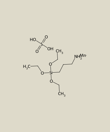 CCO[Si](CCCN)(OCC)OCC.O=S(=O)(O)O.[Mn]